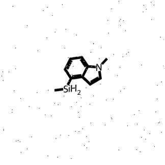 C[SiH2]c1cccc2c1ccn2C